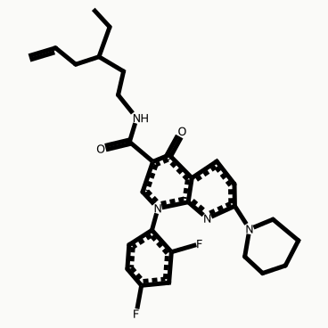 C=CCC(CC)CCNC(=O)c1cn(-c2ccc(F)cc2F)c2nc(N3CCCCC3)ccc2c1=O